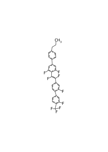 CCCc1ccc(-c2cc(F)c(/C(F)=C(\F)c3ccc(-c4ccc(C(F)(F)F)c(F)c4)c(F)c3)c(F)c2)cc1